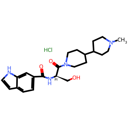 CN1CCC(C2CCN(C(=O)[C@@H](CO)NC(=O)c3ccc4cc[nH]c4c3)CC2)CC1.Cl